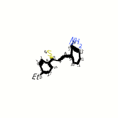 CCc1ccc(C(=S)C=Cc2ccccc2N)cc1